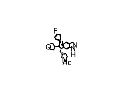 CC(=O)N1CC[C@@H](Cc2c(C3CCOCC3)n(-c3ccc(F)cc3)c3cc4cn[nH]c4cc23)C1